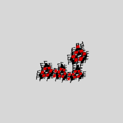 Fc1c(F)c(F)c(P(c2c(F)c(F)c(F)c(F)c2F)c2c(F)c(F)c(F)c(F)c2F)c(F)c1F.Fc1c(F)c(F)c(P(c2c(F)c(F)c(F)c(F)c2F)c2c(F)c(F)c(F)c(F)c2F)c(F)c1F.Fc1c(F)c(F)c(P(c2c(F)c(F)c(F)c(F)c2F)c2c(F)c(F)c(F)c(F)c2F)c(F)c1F.Fc1c(F)c(F)c(P(c2c(F)c(F)c(F)c(F)c2F)c2c(F)c(F)c(F)c(F)c2F)c(F)c1F.[Pd]